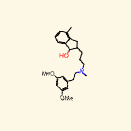 COc1cc(CCN(C)CCCC2Cc3c(C)cccc3C2O)cc(OC)c1